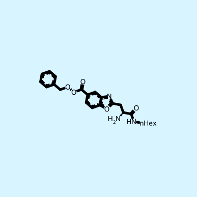 CCCCCCNC(=O)[C@@H](N)Cc1nc2cc(C(=O)OOCc3ccccc3)ccc2o1